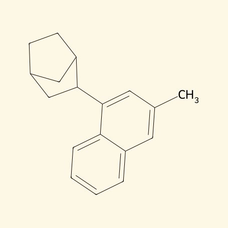 Cc1cc(C2CC3CCC2C3)c2ccccc2c1